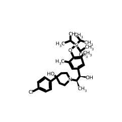 Cc1cc([C@@H](O)[C@@H](C)N2CCC(O)(c3ccc(Cl)cc3)CC2)cc(C)c1O[Si](C(C)C)(C(C)C)C(C)C